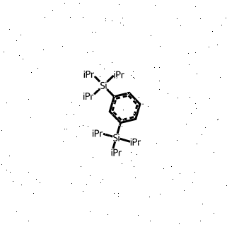 CC(C)[Si](c1c[c]cc([Si](C(C)C)(C(C)C)C(C)C)c1)(C(C)C)C(C)C